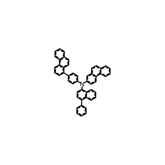 c1ccc(-c2ccc(N(c3ccc(-c4cccc5c4ccc4ccccc45)cc3)c3ccc4c(ccc5ccccc54)c3)c3ccccc23)cc1